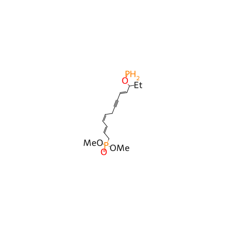 CCC(/C=C/C#CC/C=C\C=C\CP(=O)(OC)OC)OP